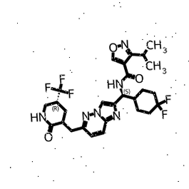 CC(C)c1nocc1C(=O)N[C@H](c1cn2nc(CC3C[C@@H](C(F)(F)F)CNC3=O)ccc2n1)C1CCC(F)(F)CC1